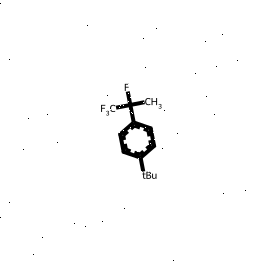 CC(C)(C)c1ccc(C(C)(F)C(F)(F)F)cc1